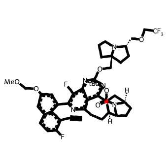 C#Cc1c(F)ccc2cc(OCOC)cc(-c3nc4c5c(nc(OC[C@@]67CCCN6[C@H](COCC(F)(F)F)CC7)nc5c3F)N3C[C@H]5CCC([C@H]3CC4)N5C(=O)OC(C)(C)C)c12